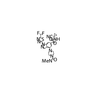 CNC(=O)N1CCN(c2cc(S(=O)(=O)NC3(C#N)CC3)cc3c2cnn3-c2nnc(C(F)F)s2)CC1